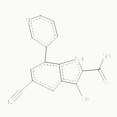 Cc1c(C(N)=O)[nH]c2c(-c3cccnc3)cc(C#N)cc12